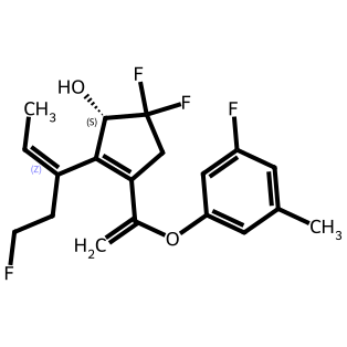 C=C(Oc1cc(C)cc(F)c1)C1=C(/C(=C\C)CCF)[C@H](O)C(F)(F)C1